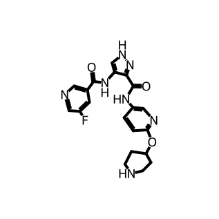 O=C(Nc1c[nH]nc1C(=O)Nc1ccc(OC2CCNCC2)nc1)c1cncc(F)c1